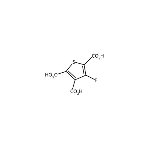 O=C(O)c1sc(C(=O)O)c(C(=O)O)c1F